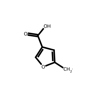 [CH2]c1cc(C(=O)O)co1